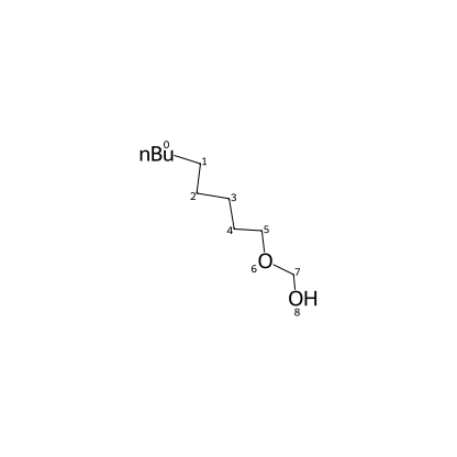 CCCCCCCCCOCO